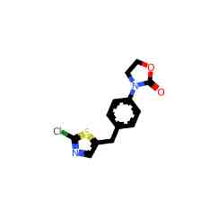 O=C1OCCN1c1ccc(Cc2cnc(Cl)s2)cc1